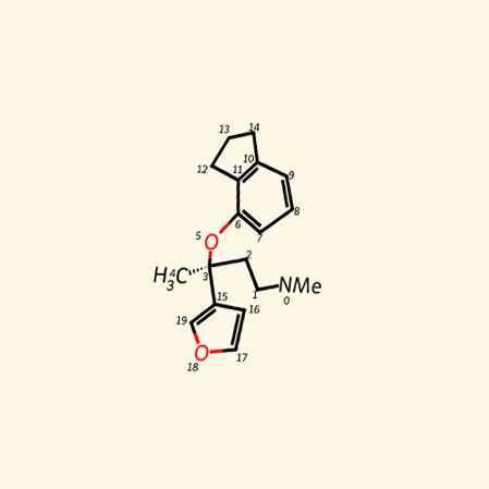 CNCC[C@](C)(Oc1cccc2c1CCC2)c1ccoc1